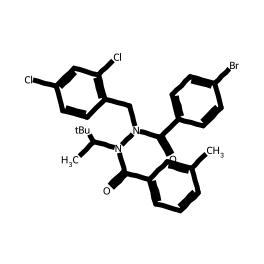 Cc1cccc(C(=O)N(C(C)C(C)(C)C)N(Cc2ccc(Cl)cc2Cl)C(=O)c2ccc(Br)cc2)c1